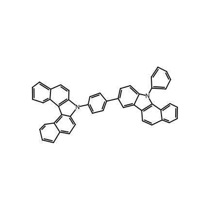 c1ccc(-n2c3ccc(-c4ccc(-n5c6ccc7ccccc7c6c6c7ccccc7ccc65)cc4)cc3c3ccc4ccccc4c32)cc1